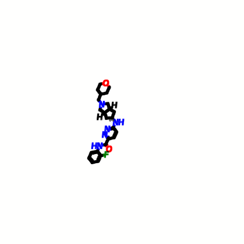 O=C(Nc1ccccc1F)c1ccc(N[C@@H]2C[C@@H]3CN(CC4CCOCC4)C[C@@H]3C2)nn1